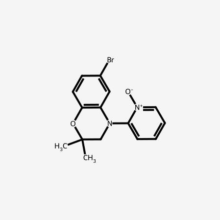 CC1(C)CN(c2cccc[n+]2[O-])c2cc(Br)ccc2O1